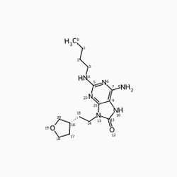 CCCCNc1nc(N)c2[nH]c(=O)n(CC[C@@H]3CCOC3)c2n1